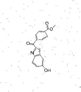 COC(=O)c1ccc(C(=O)c2nc3ccc(O)cc3s2)cc1